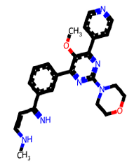 CN/C=C\C(=N)c1cccc(-c2nc(N3CCOCC3)nc(-c3ccncc3)c2OC)c1